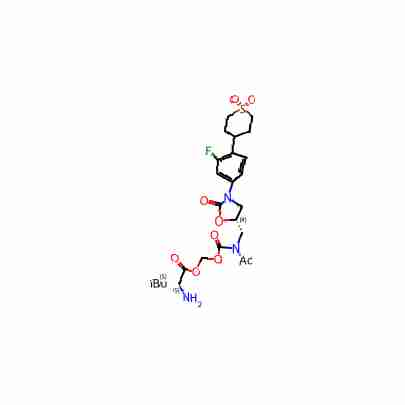 CC[C@H](C)[C@H](N)C(=O)OCOC(=O)N(C[C@H]1CN(c2ccc(C3CCS(=O)(=O)CC3)c(F)c2)C(=O)O1)C(C)=O